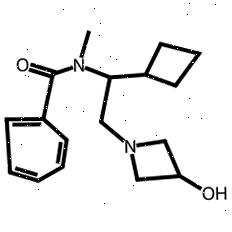 CN(C(=O)c1ccccc1)C(CN1CC(O)C1)C1CCC1